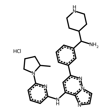 CC1CCCN1c1cccc(Nc2cc(-c3cccc(C(N)C4CCNCC4)c3)nn3ccnc23)n1.Cl